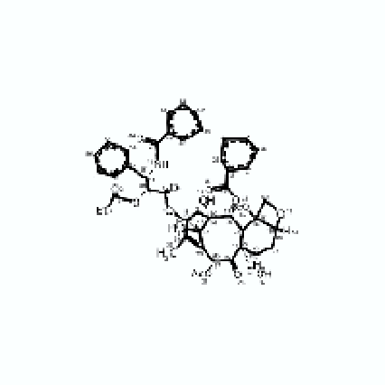 CCC(=O)O[C@@H](C(=O)O[C@H]1C[C@@]2(O)[C@@H](OC(=O)c3ccccc3)C3[C@](C)(C(=O)[C@H](OC(C)=O)C(=C1C)C2(C)C)[C@@H](O)C[C@H]1OC[C@@]31OC(C)=O)[C@@H](NC(=O)c1ccccc1)c1ccccc1